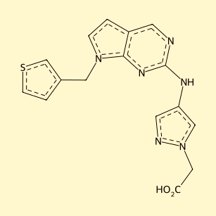 O=C(O)Cn1cc(Nc2ncc3ccn(Cc4ccsc4)c3n2)cn1